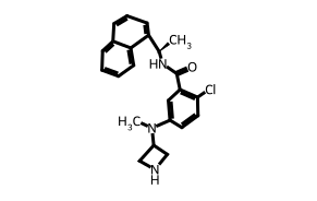 C[C@@H](NC(=O)c1cc(N(C)C2CNC2)ccc1Cl)c1cccc2ccccc12